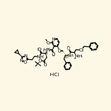 CNC(COCc1ccccc1)C(=O)N[C@@H](COc1ccnc(OC)c1C(=O)N[C@@H](CC(=O)OC(C)(C)C)C(=O)NCCc1nc(C2CC2)no1)Cc1ccccc1.Cl